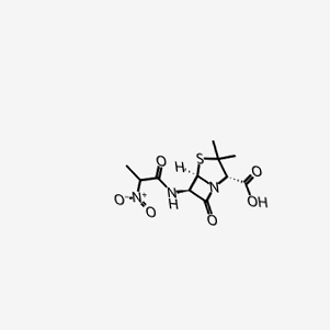 CC(C(=O)N[C@@H]1C(=O)N2[C@@H]1SC(C)(C)[C@@H]2C(=O)O)[N+](=O)[O-]